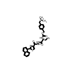 CC(C)C[C@H](NC(=O)OCc1ccc(CN(C)C)cc1)C(=O)NNC(=O)c1csc(-c2cccc3ccccc23)n1